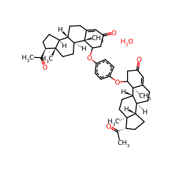 CC(=O)[C@H]1CC[C@H]2[C@@H]3CCC4=CC(=O)CC(Oc5ccc(OC6CC(=O)C=C7CC[C@H]8[C@@H]9CC[C@H](C(C)=O)[C@@]9(C)CC[C@@H]8[C@]76C)cc5)[C@]4(C)[C@H]3CC[C@]12C.O